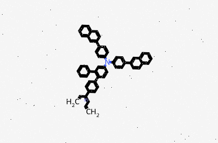 C=C/C=C(\C=C)c1ccc(-c2ccc(N(c3ccc(-c4ccc5ccccc5c4)cc3)c3ccc(-c4ccc5ccccc5c4)cc3)cc2-c2ccccc2)cc1